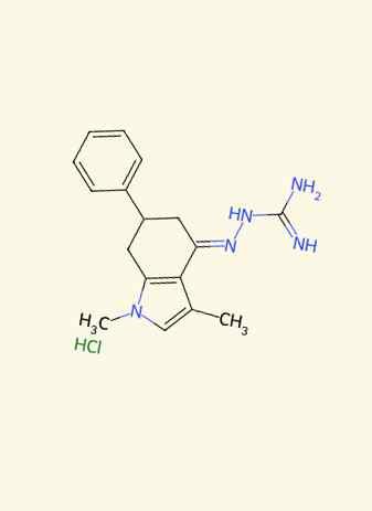 Cc1cn(C)c2c1C(=NNC(=N)N)CC(c1ccccc1)C2.Cl